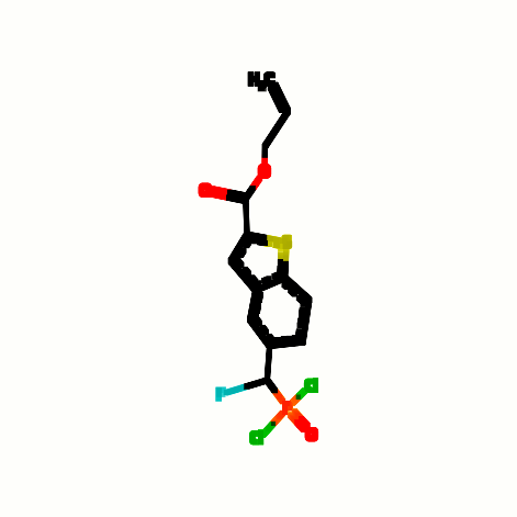 C=CCOC(=O)c1cc2cc(C(F)P(=O)(Cl)Cl)ccc2s1